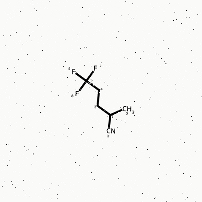 CC(C#N)CCC(F)(F)F